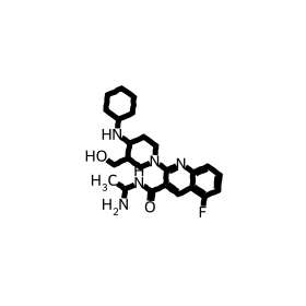 CC(N)NC(=O)c1cc2c(F)cccc2nc1N1CCC(NC2CCCCC2)C(CO)C1